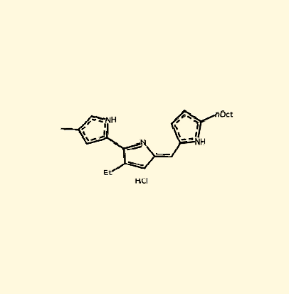 CCCCCCCCc1ccc(C=C2C=C(CC)C(c3cc(C)c[nH]3)=N2)[nH]1.Cl